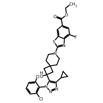 CCOC(=O)c1cc(F)c2nc(N3CCC4(CC3)CC(O)(c3c(C5CC5)nnn3-c3c(Cl)cccc3Cl)C4)sc2c1